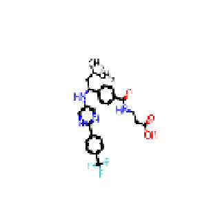 CC(C)CC(Nc1cnc(-c2ccc(C(F)(F)F)cc2)nc1)c1ccc(C(=O)NCCC(=O)O)cc1